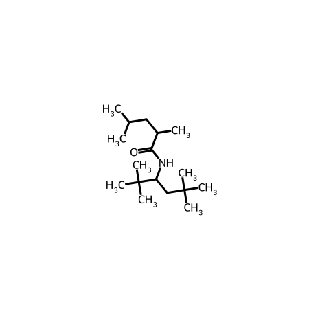 CC(C)CC(C)C(=O)NC(CC(C)(C)C)C(C)(C)C